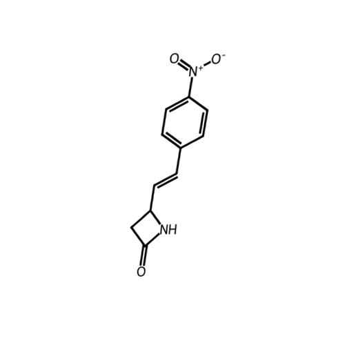 O=C1CC(/C=C/c2ccc([N+](=O)[O-])cc2)N1